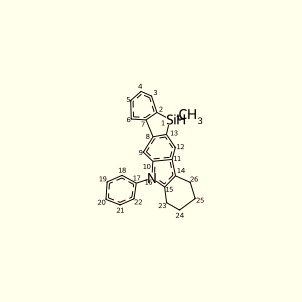 C[SiH]1c2ccccc2-c2cc3c(cc21)c1c(n3-c2ccccc2)CCCC1